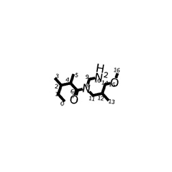 CCC(C)C(C)C(=O)N(CN)CC(C)COC